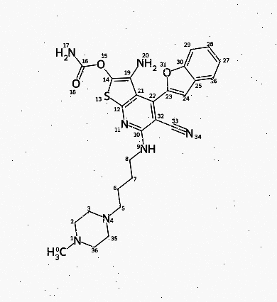 CN1CCN(CCCCNc2nc3sc(OC(N)=O)c(N)c3c(-c3cc4ccccc4o3)c2C#N)CC1